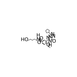 CCOc1ccc(S(=O)(=O)NCCCCCO)cc1-c1nn2c(C3CCCC3)nnc2c(=O)[nH]1